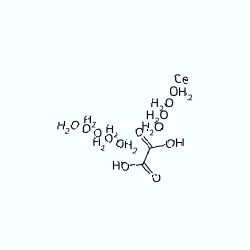 O.O.O.O.O.O.O.O.O.O=C(O)C(=O)O.[Ce]